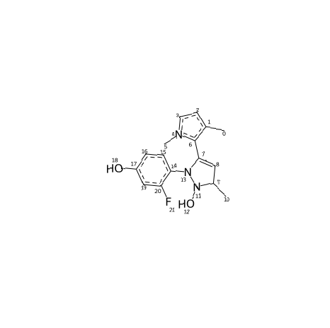 Cc1ccn(C)c1C1=CC(C)N(O)N1c1ccc(O)cc1F